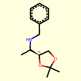 CC(NCc1ccccc1)[C@H]1COC(C)(C)O1